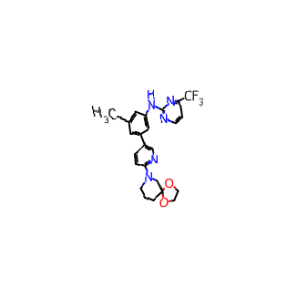 Cc1cc(Nc2nccc(C(F)(F)F)n2)cc(-c2ccc(N3CCCC4(C3)OCCO4)nc2)c1